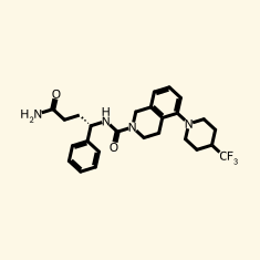 NC(=O)CC[C@H](NC(=O)N1CCc2c(cccc2N2CCC(C(F)(F)F)CC2)C1)c1ccccc1